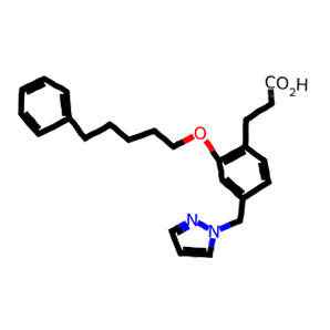 O=C(O)CCc1ccc(Cn2cccn2)cc1OCCCCCc1ccccc1